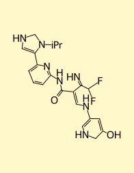 CC(C)N1CNC=C1c1cccc(NC(=O)/C(=C/NC2=CNCC(O)=C2)C(=N)C(F)F)n1